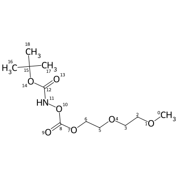 COCCOCCOC(=O)ONC(=O)OC(C)(C)C